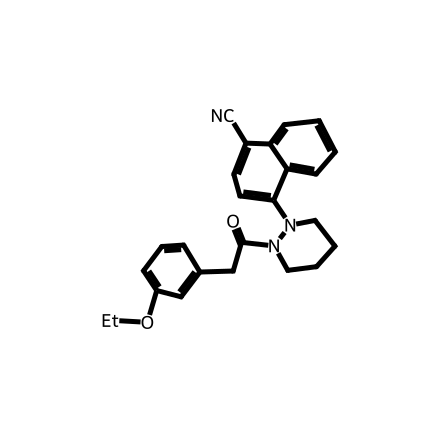 CCOc1cccc(CC(=O)N2CCCCN2c2ccc(C#N)c3ccccc23)c1